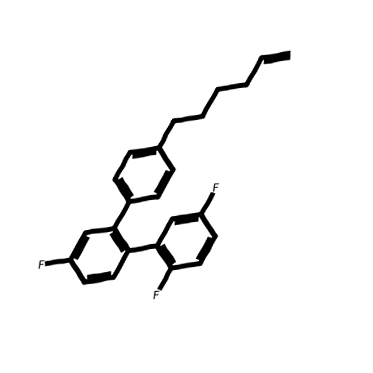 C=CCCCCc1ccc(-c2cc(F)ccc2-c2cc(F)ccc2F)cc1